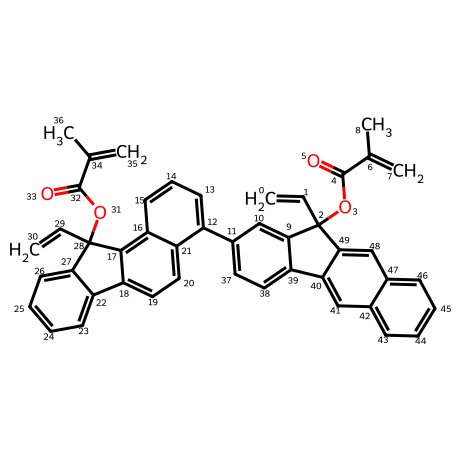 C=CC1(OC(=O)C(=C)C)c2cc(-c3cccc4c5c(ccc34)-c3ccccc3C5(C=C)OC(=O)C(=C)C)ccc2-c2cc3ccccc3cc21